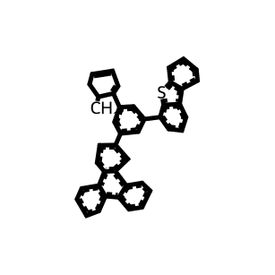 CC1CC=CC=C1c1cc(-c2ccc3c4ccccc4c4ccccc4c3c2)cc(-c2cccc3c2sc2ccccc23)c1